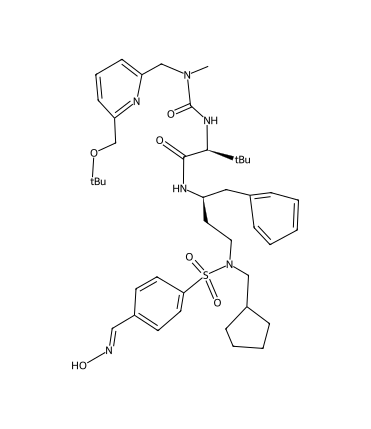 CN(Cc1cccc(COC(C)(C)C)n1)C(=O)N[C@H](C(=O)N[C@H](CCN(CC1CCCC1)S(=O)(=O)c1ccc(C=NO)cc1)Cc1ccccc1)C(C)(C)C